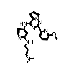 COc1cccc(-c2nc(Nc3ccnc(NCCCN(C)C)c3)c3cccn3n2)n1